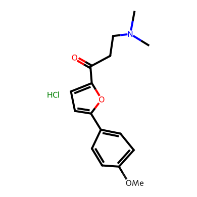 COc1ccc(-c2ccc(C(=O)CCN(C)C)o2)cc1.Cl